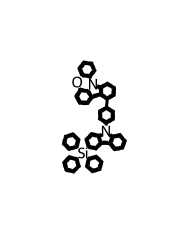 c1ccc([Si](c2ccccc2)(c2ccccc2)c2ccc3c(c2)c2ccccc2n3-c2ccc(-c3cccc4c3c3cccc5c3n4-c3ccccc3O5)cc2)cc1